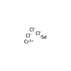 [Cl-].[Cl-].[Cl-].[Cr+3].[Se]